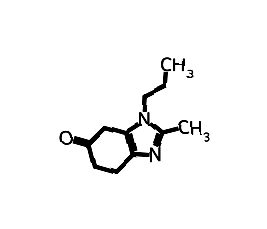 CCCn1c(C)nc2c1CC(=O)CC2